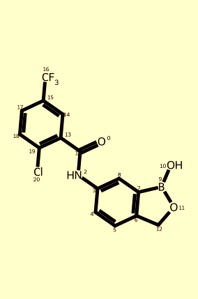 O=C(Nc1ccc2c(c1)B(O)OC2)c1cc(C(F)(F)F)ccc1Cl